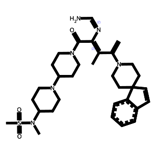 C=C(/C(C)=C(\N=C/N)C(=O)N1CCC(N2CCC(N(C)S(C)(=O)=O)CC2)CC1)N1CCC2(C=Cc3ccccc32)CC1